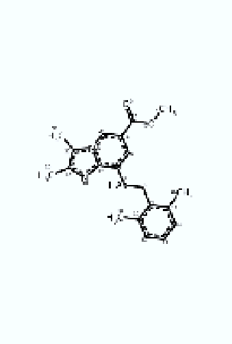 COC(=O)c1cc([AsH]Cc2c(C)cccc2C)c2nc(C)c(C)n2c1